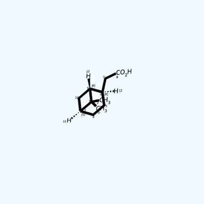 CC1(C)[C@H]2CC[C@H](CC(=O)O)[C@H]1C2